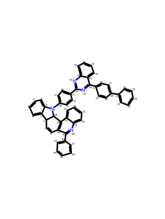 C1=CC2c3ccccc3N(c3ccc(-c4nc(-c5ccc(-c6ccccc6)cc5)c5ccccc5n4)cc3)C2c2c1c(-c1ccccc1)nc1ccccc21